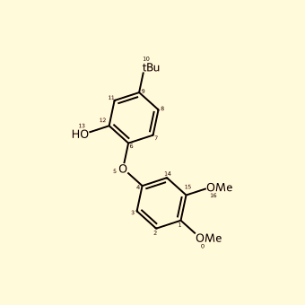 COc1ccc(Oc2ccc(C(C)(C)C)cc2O)cc1OC